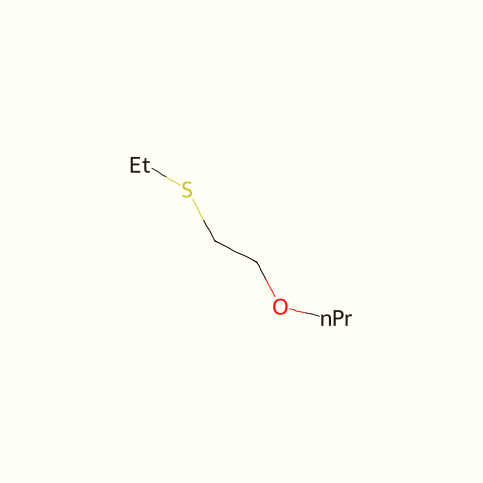 [CH2]CCOCCSCC